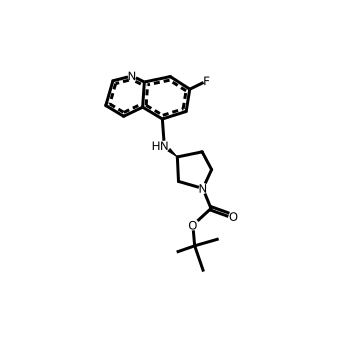 CC(C)(C)OC(=O)N1CC[C@H](Nc2cc(F)cc3ncccc23)C1